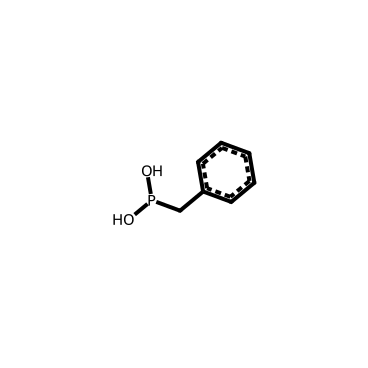 OP(O)Cc1ccccc1